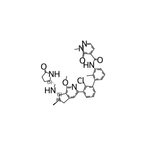 COc1nc(-c2cccc(-c3cccc(NC(=O)c4ccnn(C)c4=O)c3C)c2Cl)cc2c1[C@@H](NC[C@@H]1CCC(=O)N1)[C@H](C)C2